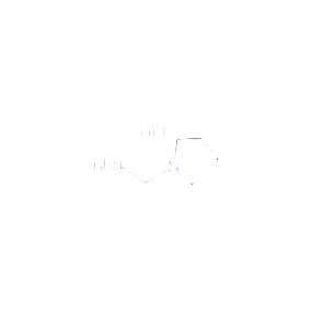 Br.CCCCCN1C=CCC1